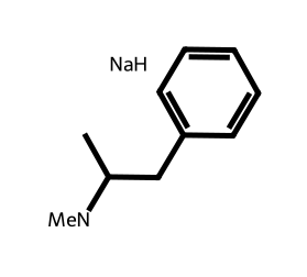 CNC(C)Cc1ccccc1.[NaH]